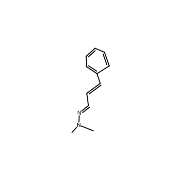 CN(C)N=CC=Cc1ccccc1